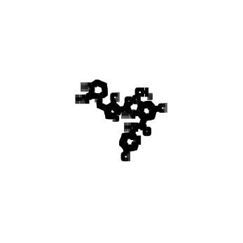 COc1cc(Cl)cc(C(=O)Nc2ccc(Cl)cn2)c1NC(=O)c1scc(CN2CCCNC2=N)c1Cl